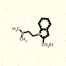 CCOC(=O)c1cc2ccccc2n1CCN(C)C